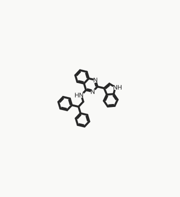 c1ccc(C(CNc2nc(-c3c[nH]c4ccccc34)nc3ccccc23)c2ccccc2)cc1